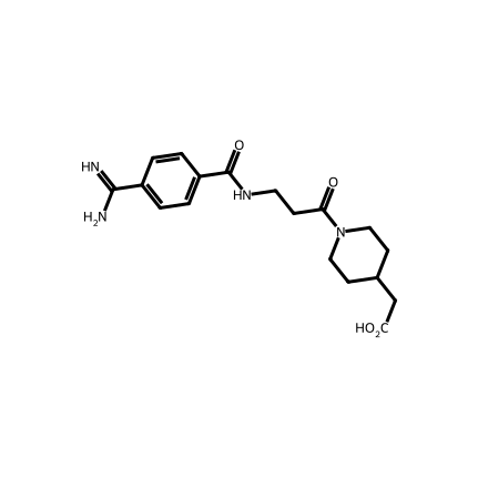 N=C(N)c1ccc(C(=O)NCCC(=O)N2CCC(CC(=O)O)CC2)cc1